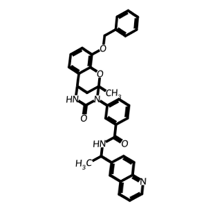 CC(NC(=O)c1cccc(N2C(=O)NC3CC2(C)Oc2c(OCc4ccccc4)cccc23)c1)c1ccc2ncccc2c1